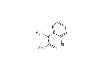 CNC(=S)N(C)c1ccccc1Cl